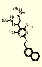 C[SiH](OCC(O[SiH](C)C(C)(C)C)c1c(N)nc(SCc2ccc3ccccc3c2)nc1O)C(C)(C)C